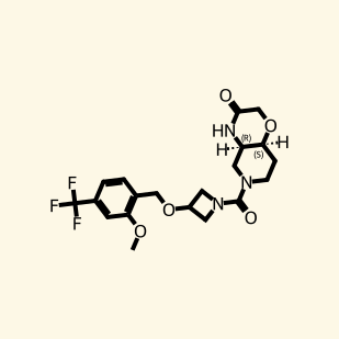 COc1cc(C(F)(F)F)ccc1COC1CN(C(=O)N2CC[C@@H]3OCC(=O)N[C@@H]3C2)C1